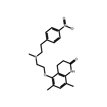 Cc1cc(C)c(OCCN(C)CCc2ccc([N+](=O)[O-])cc2)c2c1NC(=O)CC2